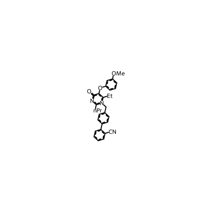 CCCc1nc(=O)c(Oc2cccc(OC)c2)c(CC)n1Cc1ccc(-c2ccccc2C#N)cc1